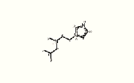 CC(C)CN(C)CCn1ccnc1